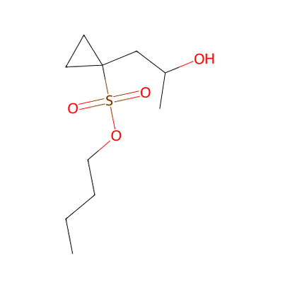 CCCCOS(=O)(=O)C1(CC(C)O)CC1